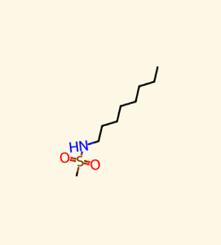 CCCCCCCCNS(C)(=O)=O